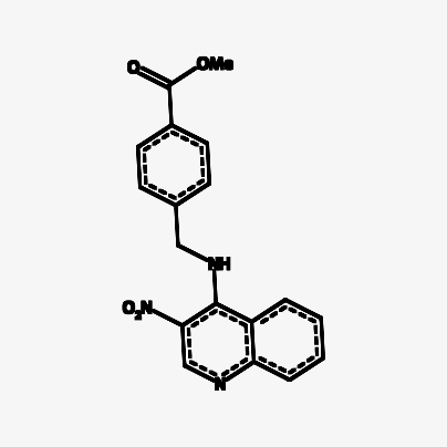 COC(=O)c1ccc(CNc2c([N+](=O)[O-])cnc3ccccc23)cc1